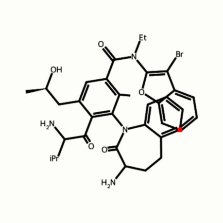 CCN(C(=O)c1cc(C[C@@H](C)O)c(C(=O)C(N)C(C)C)c(N2C(=O)C(N)CCc3ccccc32)c1C)c1oc2ccccc2c1Br